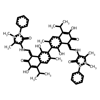 Cc1cc2c(c(O)c1-c1c(C)cc3c(c1O)/C(=C/Nc1c(C)n(C)n(-c4ccccc4)c1=O)C(=O)C(O)=C3C(C)C)/C(=C/Nc1c(C)n(C)n(-c3ccccc3)c1=O)C(=O)C(O)=C2C(C)C